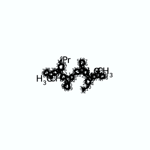 CC(C)CC1=Cc2c(n(-c3ccc4c(c3)c3cc(-c5ccc6c(c5)c5cc(-n7c8ccc(CC9CC9)cc8c8cc9c(cc87)C(C)(C)C7=C9C=CCC7)ccc5n6-c5ccccc5)ccc3n4-c3ccccc3)c3cc4c(cc23)-c2ccccc2C4(C)C)C=CC1